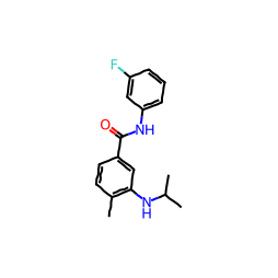 Cc1ccc(C(=O)Nc2cccc(F)c2)cc1NC(C)C